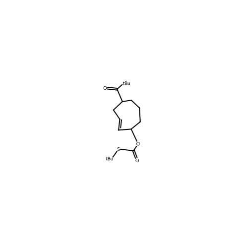 CC(C)(C)SC(=O)OC1/C=C/CC(C(=O)C(C)(C)C)CCC1